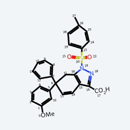 COc1cccc(C2(c3ccccc3)C=Cc3c(C(=O)O)nn(S(=O)(=O)c4ccc(C)cc4)c3C2)c1